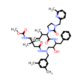 CCC(C)C(C(=O)NC(Cc1ccccc1)C(O)CN(Cc1cc(C)cc(C)c1)NC(=O)CC(C)(C)CNC(=O)OC)N1CCN(Cc2cccc(C)n2)C1=O